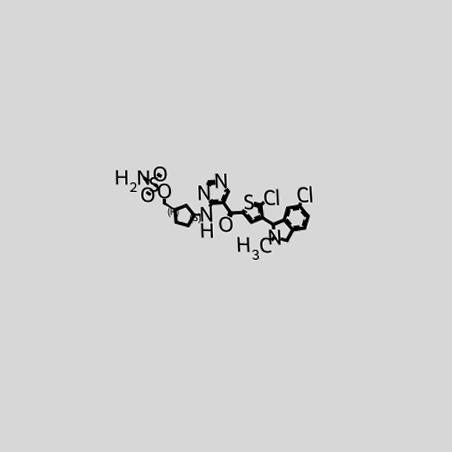 CN1Cc2ccc(Cl)cc2C1c1cc(C(=O)c2cncnc2N[C@H]2CC[C@@H](COS(N)(=O)=O)C2)sc1Cl